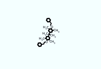 Cc1cc(C(C)(C)c2cc(C)c(OCCc3ccccc3)c(C)c2)cc(C)c1OCCc1ccccc1